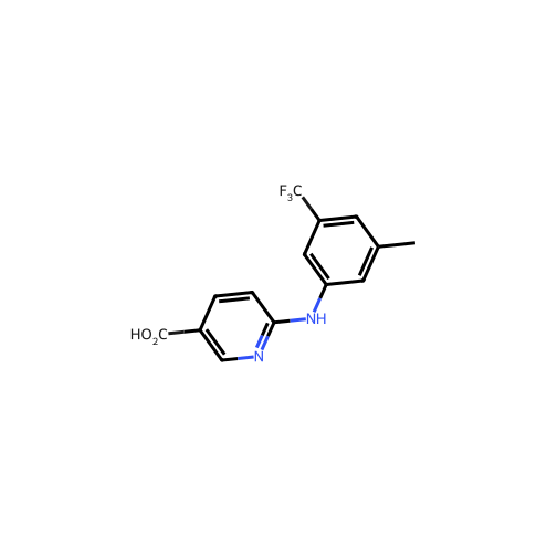 Cc1cc(Nc2ccc(C(=O)O)cn2)cc(C(F)(F)F)c1